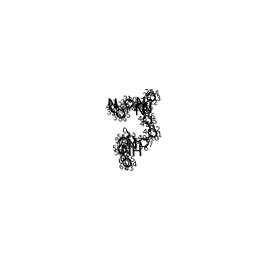 Cc1cc(-c2cccc(-c3cccc(-c4ccc(-c5nc(-c6ccccc6)nc(-c6cccc(-c7cccc8ccncc78)c6)n5)cc4)c3)c2)nc2c3c(ccc12)C=CC(c1ccccc1)N3